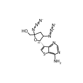 [N-]=[N+]=NC1CC(CO)(N=[N+]=[N-])O[C@H]1c1csc2c(N)ncnc12